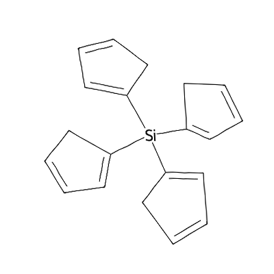 C1=CCC([Si](C2=CC=CC2)(C2=CC=CC2)C2=CC=CC2)=C1